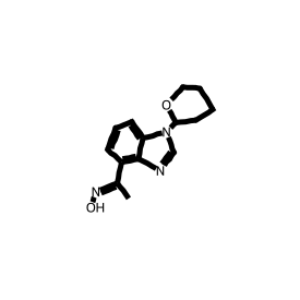 C/C(=N\O)c1cccc2c1ncn2C1CCCCO1